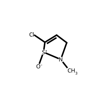 CN1CC=C(Cl)[S+]1[O-]